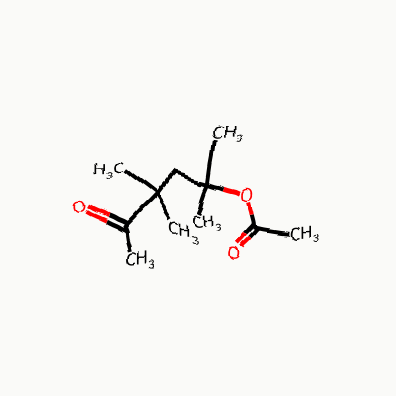 CC(=O)OC(C)(C)CC(C)(C)C(C)=O